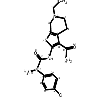 CCN1CCc2c(sc(NC(=O)N(C)c3ccc(Cl)cc3)c2C(N)=O)C1